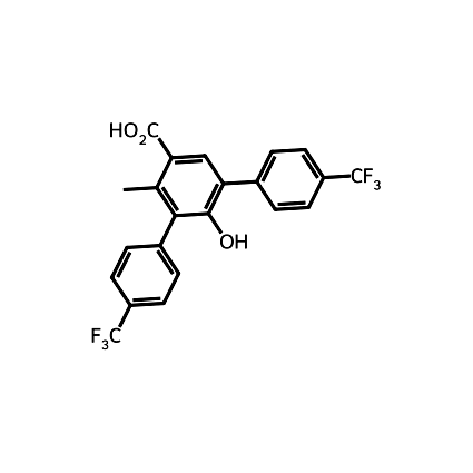 Cc1c(C(=O)O)cc(-c2ccc(C(F)(F)F)cc2)c(O)c1-c1ccc(C(F)(F)F)cc1